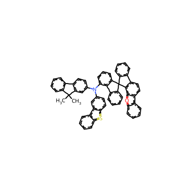 CC1(C)c2ccccc2-c2ccc(N(c3ccc4sc5ccccc5c4c3)c3cccc4c3-c3ccccc3C43c4ccccc4-c4ccc5c(oc6ccccc65)c43)cc21